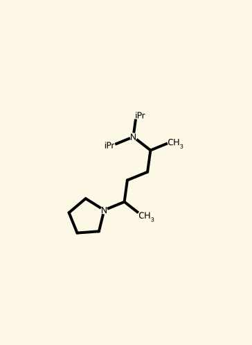 CC(CCC(C)N(C(C)C)C(C)C)N1CCCC1